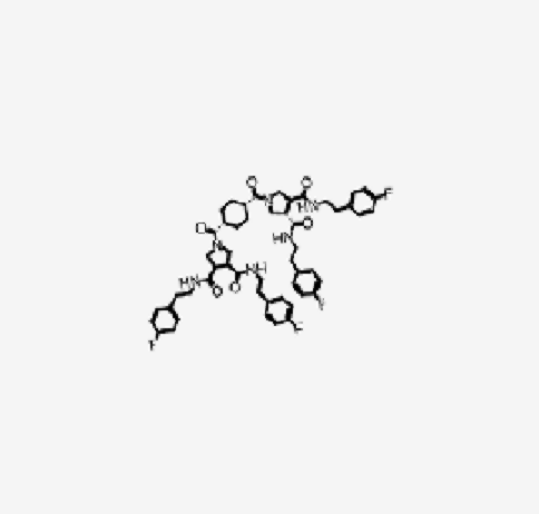 O=C(NCCc1ccc(F)cc1)C1CN(C(=O)[C@H]2CC[C@@H](C(=O)N3CC(C(=O)NCCc4ccc(F)cc4)[C@H](C(=O)NCCc4ccc(F)cc4)C3)CC2)CC1C(=O)NCCc1ccc(F)cc1